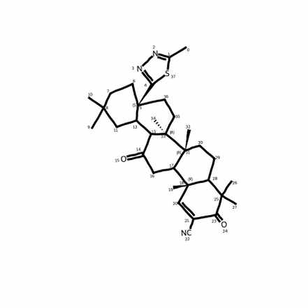 Cc1nnc([C@]23CCC(C)(C)CC2C2C(=O)CC4[C@@]5(C)C=C(C#N)C(=O)C(C)(C)C5CC[C@@]4(C)[C@]2(C)CC3)s1